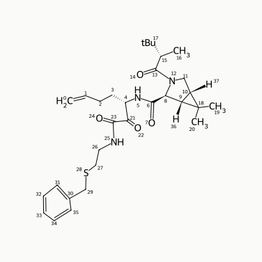 C=CCC[C@H](NC(=O)[C@@H]1[C@@H]2[C@H](CN1C(=O)[C@@H](C)C(C)(C)C)C2(C)C)C(=O)C(=O)NCCSCc1ccccc1